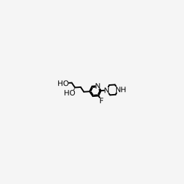 OC[C@@H](O)CCc1cnc(N2CCNCC2)c(F)c1